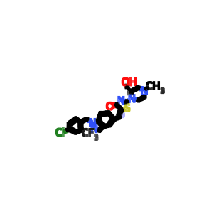 CN1CCN(C2=NC(=O)/C(=C\c3ccc4c(cnn4Cc4ccc(Cl)cc4C(F)(F)F)c3)S2)[C@@H](CO)C1